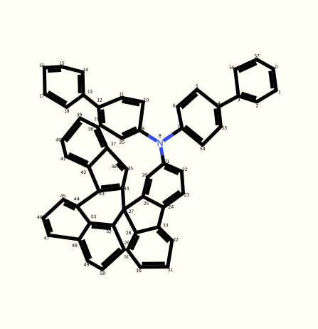 c1ccc(-c2ccc(N(c3ccc(-c4ccccc4)cc3)c3ccc4c(c3)C3(c5ccccc5-4)c4ccc5ccccc5c4-c4cccc5cccc3c45)cc2)cc1